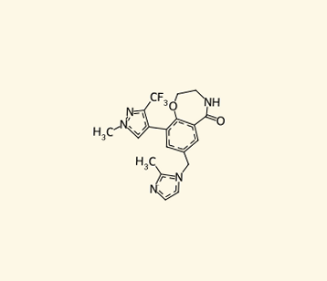 Cc1nccn1Cc1cc2c(c(-c3cn(C)nc3C(F)(F)F)c1)OCCNC2=O